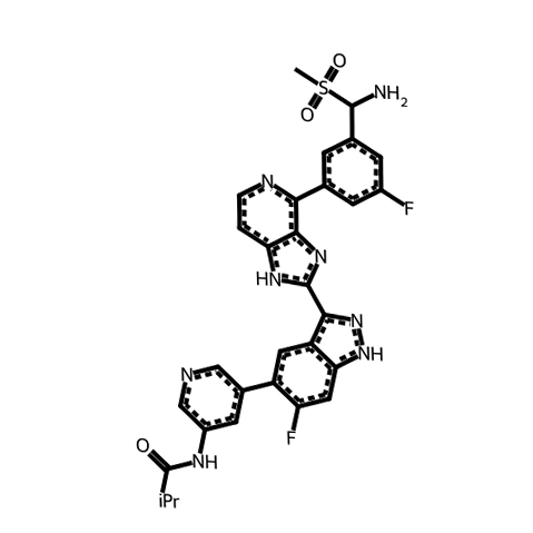 CC(C)C(=O)Nc1cncc(-c2cc3c(-c4nc5c(-c6cc(F)cc(C(N)S(C)(=O)=O)c6)nccc5[nH]4)n[nH]c3cc2F)c1